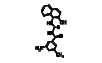 Cc1cc(C)cc(C(=O)NC(=S)Nc2c(O)ccc3ccccc23)c1